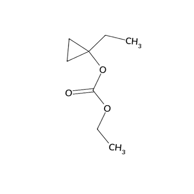 CCOC(=O)OC1(CC)CC1